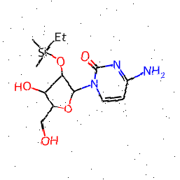 CC[Si](C)(C)OC1C(O)C(CO)OC1n1ccc(N)nc1=O